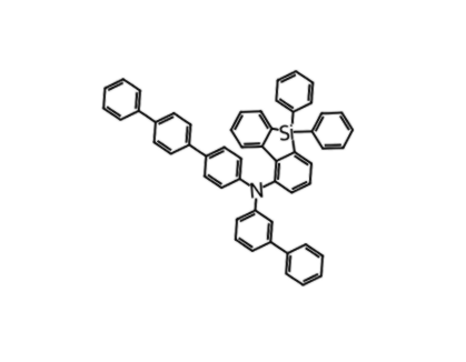 c1ccc(-c2ccc(-c3ccc(N(c4cccc(-c5ccccc5)c4)c4cccc5c4-c4ccccc4[Si]5(c4ccccc4)c4ccccc4)cc3)cc2)cc1